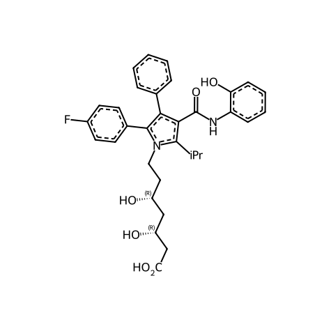 CC(C)c1c(C(=O)Nc2ccccc2O)c(-c2ccccc2)c(-c2ccc(F)cc2)n1CC[C@@H](O)C[C@@H](O)CC(=O)O